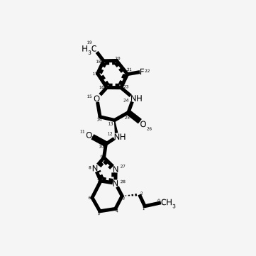 CCC[C@@H]1CCCc2nc(C(=O)N[C@H]3COc4cc(C)cc(F)c4NC3=O)nn21